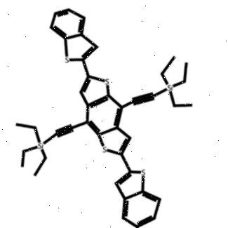 CC[Si](C#Cc1c2cc(-c3cc4ccccc4s3)sc2c(C#C[Si](CC)(CC)CC)c2cc(-c3cc4ccccc4s3)sc12)(CC)CC